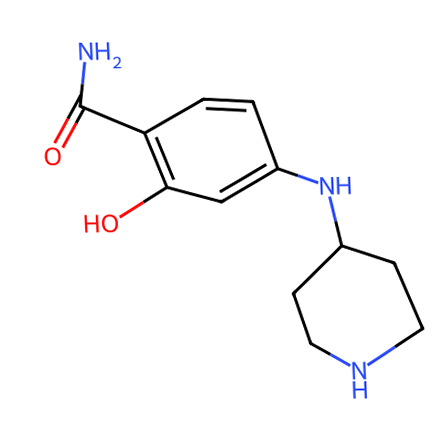 NC(=O)c1ccc(NC2CCNCC2)cc1O